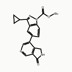 CC(C)(C)OC(=O)n1nc(C2CC2)c2cc(-c3cncc4c3CNC4=O)ccc21